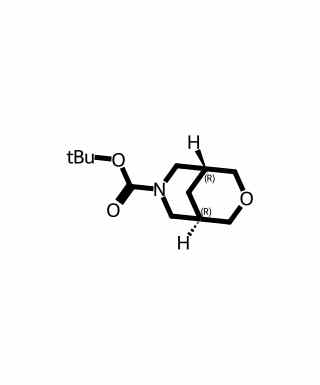 CC(C)(C)OC(=O)N1C[C@@H]2COC[C@H](C2)C1